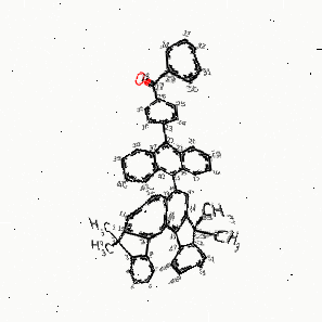 CC1(C)c2ccccc2-c2c1ccc1c(-c3c4ccccc4c(-c4ccc(C(=O)c5ccccc5)cc4)c4ccccc34)cc3c(c21)-c1ccccc1C3(C)C